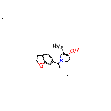 CNC1=C(O)CCN(C(C)c2ccc3c(c2)OCC3)C1